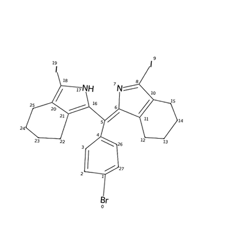 Brc1ccc(/C(=C2/N=C(I)C3=C2CCCC3)c2[nH]c(I)c3c2CCCC3)cc1